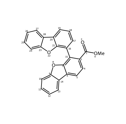 COC(=O)c1ccc2c(oc3ccccc32)c1-c1cccc2c1oc1ccccc12